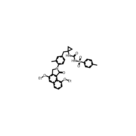 CCOc1cc2cccc(OCC)c2c2c1CN(c1ccc(CC3(NC(=O)NS(=O)(=O)c4ccc(C)cc4)CC3)cc1C)C2=O